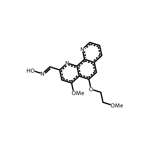 COCCOc1cc2cccnc2c2nc(/C=N/O)cc(OC)c12